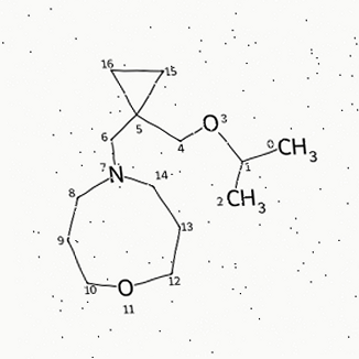 CC(C)OCC1(CN2CCCOCCC2)CC1